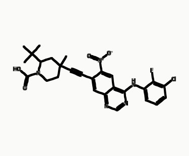 CC1(C#Cc2cc3ncnc(Nc4cccc(Cl)c4F)c3cc2[N+](=O)[O-])CCN(C(=O)O)C(C(C)(C)C)C1